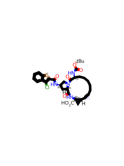 CC(C)(C)OC(=O)N[C@H]1CCCCC/C=C\[C@@H]2C[C@@]2(C(=O)O)NC(=O)[C@@H]2C[C@@H](NC(=O)c3sc4ccccc4c3Cl)CN2C1=O